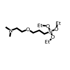 CCO[Si](CCCOCCN(C)C)(OCC)OCC